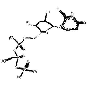 O=c1ccn([C@@H]2O[C@H](COP(=O)(O)OP(=O)(O)OP(=O)(O)S)[C@H](O)C2O)c(=O)[nH]1